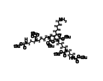 CC(C)(C)OC(=O)NCCCN(CCCCN(CC(CCCCCCN)CN(CCCCN(CCCNC(=O)OC(C)(C)C)C(=O)OC(C)(C)C)C(=O)OC(C)(C)C)C(=O)OC(C)(C)C)C(=O)OC(C)(C)C